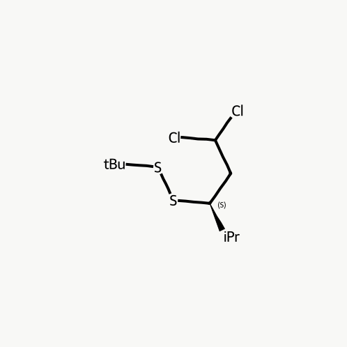 CC(C)[C@H](CC(Cl)Cl)SSC(C)(C)C